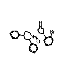 O=C([C@@H]1CNC[C@H]1c1ccccc1Br)N1CCC(c2ccccc2)CC1c1ccccc1